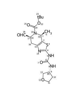 C[C@H]1c2sc(NC(=O)N[C@@H]3CCOC3)nc2C[C@@H](C=O)N1C(=O)OC(C)(C)C